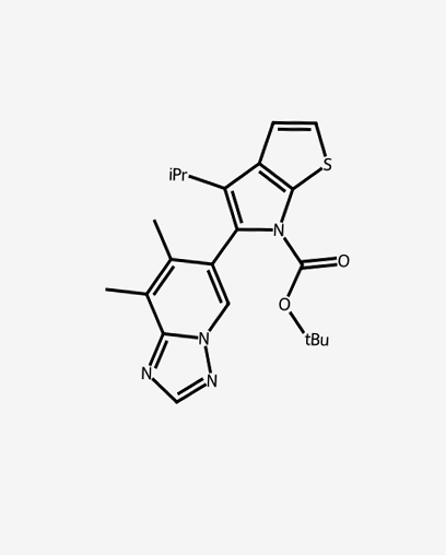 Cc1c(-c2c(C(C)C)c3ccsc3n2C(=O)OC(C)(C)C)cn2ncnc2c1C